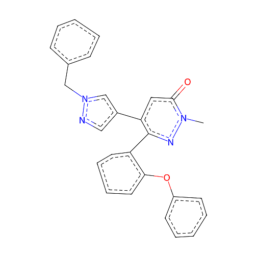 Cn1nc(-c2ccccc2Oc2ccccc2)c(-c2cnn(Cc3ccccc3)c2)cc1=O